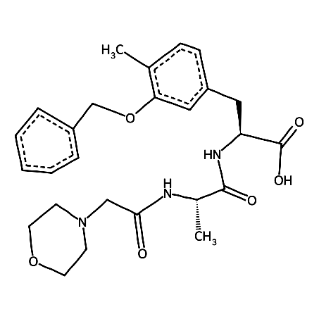 Cc1ccc(C[C@H](NC(=O)[C@H](C)NC(=O)CN2CCOCC2)C(=O)O)cc1OCc1ccccc1